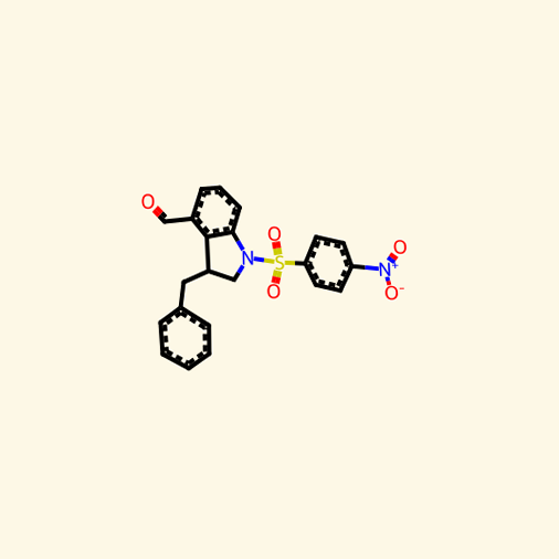 O=Cc1cccc2c1C(Cc1ccccc1)CN2S(=O)(=O)c1ccc([N+](=O)[O-])cc1